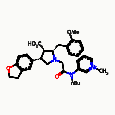 CCCCN(C(=O)CN1C[C@H](c2ccc3c(c2)CCO3)[C@@H](C(=O)O)[C@@H]1Cc1ccccc1OC)c1ccc[n+](C)c1